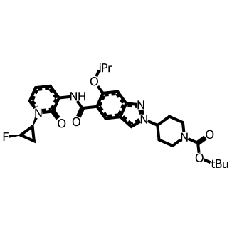 CC(C)Oc1cc2nn(C3CCN(C(=O)OC(C)(C)C)CC3)cc2cc1C(=O)Nc1cccn([C@H]2C[C@H]2F)c1=O